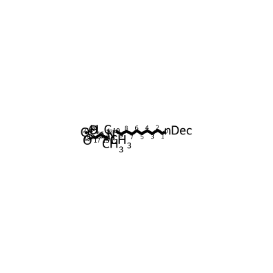 CCCCCCCCCCCCCCCCCCCC[N+](C)(C)[C@@H](C)CCS(=O)(=O)[O-]